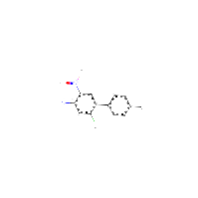 Cc1ccc(-c2cc([N+](=O)[O-])c(N)cc2Cl)cc1